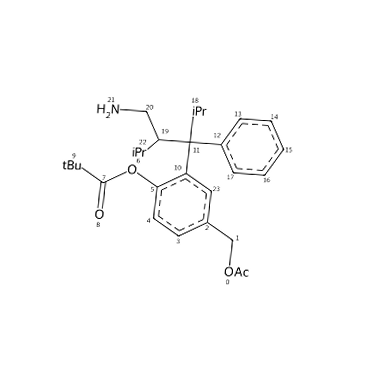 CC(=O)OCc1ccc(OC(=O)C(C)(C)C)c(C(c2ccccc2)(C(C)C)C(CN)C(C)C)c1